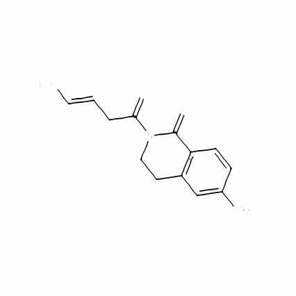 C/C=C/CC(=O)N1CCc2cc(OC)ccc2C1=O